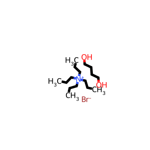 CCC[N+](CCC)(CCC)CCC.OCCCCO.[Br-]